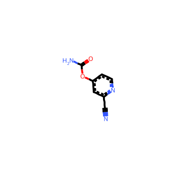 N#Cc1cc(OC(N)=O)ccn1